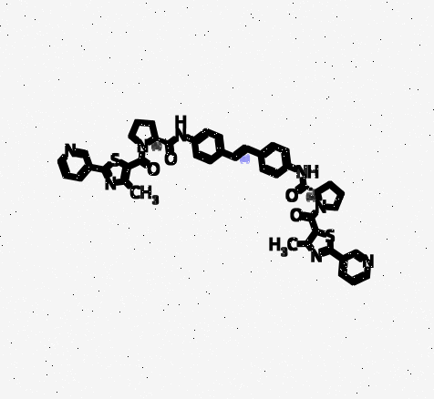 Cc1nc(-c2cccnc2)sc1C(=O)N1CCC[C@H]1C(=O)Nc1ccc(/C=C/c2ccc(NC(=O)[C@@H]3CCCN3C(=O)C3SC(c4cccnc4)=NC3C)cc2)cc1